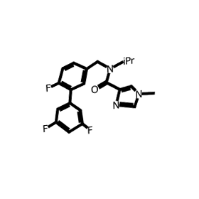 CC(C)N(Cc1ccc(F)c(-c2cc(F)cc(F)c2)c1)C(=O)c1cn(C)cn1